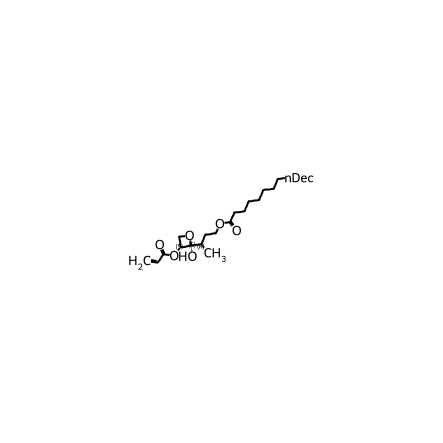 C=CC(=O)O[C@H]1CO[C@@]1(O)[C@H](C)CCOC(=O)CCCCCCCCCCCCCCCCC